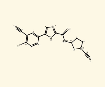 N#Cc1cc(-c2cnc(C(=O)NC3CCN(C#N)C3)o2)ccc1F